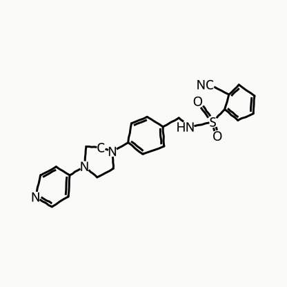 N#Cc1ccccc1S(=O)(=O)NCc1ccc(N2CCN(c3ccncc3)CC2)cc1